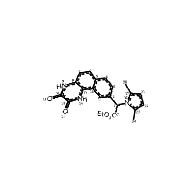 CCOC(=O)C(c1ccc2ccc3[nH]c(=O)c(=O)[nH]c3c2c1)n1c(C)ccc1C